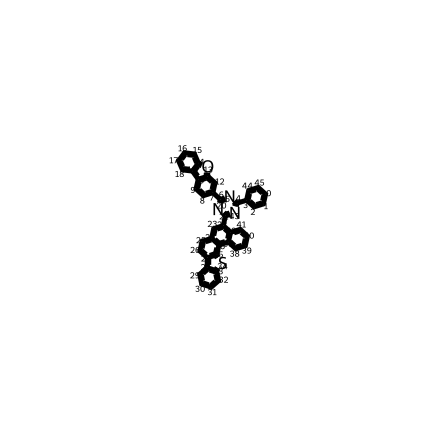 c1ccc(-c2nc(-c3ccc4c(c3)oc3ccccc34)nc(-c3cc4ccc5c6ccccc6sc5c4c4ccccc34)n2)cc1